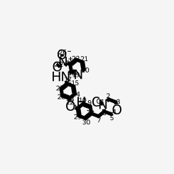 CN1CCOCC1Cc1ccc(Oc2ccc(Nc3ncccc3[N+](=O)[O-])cc2)cc1